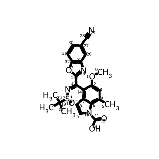 COc1cc(C)c2c(ccn2C(=O)O)c1/C(=N\[S+]([O-])C(C)(C)C)c1nc2cc(C#N)ccc2o1